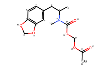 CC(Cc1ccc2c(c1)OCO2)N(C)C(=O)OCOC(=O)C(C)(C)C